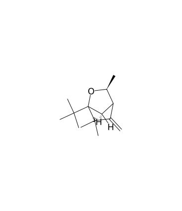 [3H][C@H]1C2C(=C)C(C)(C)C1(C(C)(C)C)O[C@H]2C